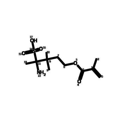 C=C(C)C(=O)OCCC(C)(C)C(C)(N)S(=O)(=O)O